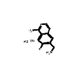 Cl.Cl.NCc1cc2ccnc(N)c2cc1F